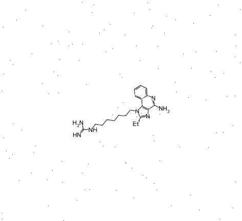 CCc1nc2c(N)nc3ccccc3c2n1CCCCCCCNC(=N)N